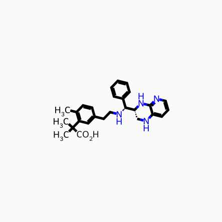 Cc1ccc(CCN[C@H](c2ccccc2)[C@H]2CNc3cccnc3N2)cc1C(C)(C)C(=O)O